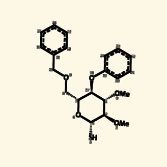 CO[C@@H]1[C@@H](OC)[C@H](S)O[C@H](COCc2ccccc2)[C@H]1Oc1ccccc1